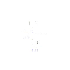 CNc1cc2[nH]c(=O)n(-c3cc[c]cc3)c(=O)c2cc1F.[KH]